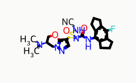 CN(C)[C@H]1COc2c(S(=O)(=NC(=O)Nc3c4c(c(F)c5c3CCC5)CCC4)NC#N)cnn2C1